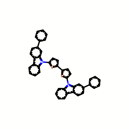 c1ccc(-c2ccc3c4ccccc4n(-c4ccc(-c5ccc(-n6c7ccccc7c7ccc(-c8ccccc8)cc76)s5)s4)c3c2)cc1